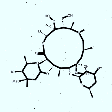 CC[C@H]1OC(=O)[C@H](C)[C@@H](OC2C[C@@](C)(OC)[C@@H](O)[C@@H](C)O2)[C@H](C)[C@@H](O[C@@H]2O[C@H](C)CC(C(C)C)[C@H]2O)[C@](C)(OO)C[C@H](C)CN(C)[C@H](C)[C@@H](CO)[C@]1(C)OO